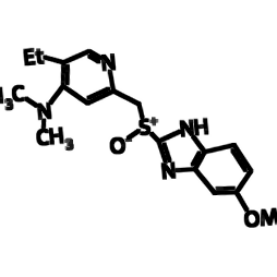 CCc1cnc(C[S+]([O-])c2nc3cc(OC)ccc3[nH]2)cc1N(C)C